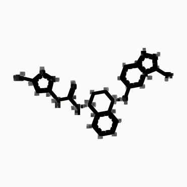 CC(C)c1nnc2ccc(O[C@H]3CC[C@@H](NC(=O)Nc4cc(C(C)(C)C)on4)c4ccccc43)cn12